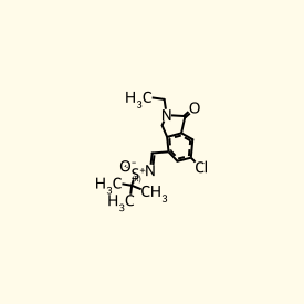 CCN1Cc2c(C=N[S@@+]([O-])C(C)(C)C)cc(Cl)cc2C1=O